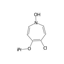 CC(C)OC1=C(Cl)C=CN(O)C=C1